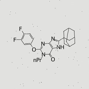 CCCn1c(Oc2ccc(F)c(F)c2)nc2nc(C34CC5CC(CC(C5)C3)C4)[nH]c2c1=O